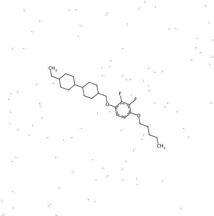 CCCCCOc1ccc(OCC2CCC(C3CCC(CC)CC3)CC2)c(F)c1F